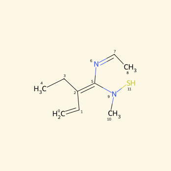 C=C/C(CC)=C(/N=C\C)N(C)S